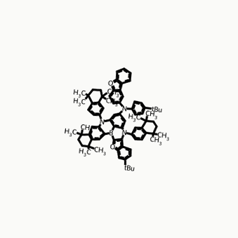 CC(C)(C)c1ccc(N(c2cc3c4c(c2)N(c2ccc5c(c2)C(C)(C)CCC5(C)C)c2c(oc5cc(C(C)(C)C)ccc25)B4c2cc4c(cc2N3c2ccc3c(c2)C(C)(C)CCC3(C)C)C(C)(C)CCC4(C)C)c2ccc3oc4ccccc4c3c2)cc1